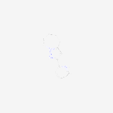 c1ccc(-c2cc3n(n2)CCCCC3)nc1